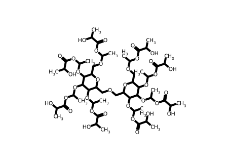 CC(OCC1OC(COCC2OC(COC(C)OC(=O)C(C)O)C(OC(C)OC(=O)C(C)O)C(OC(C)OC(=O)C(C)O)C2OC(C)OC(=O)C(C)O)C(OC(C)OC(=O)C(C)O)C(OC(C)OC(=O)C(C)O)C1OC(C)OC(=O)C(C)O)OC(=O)C(C)O